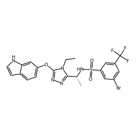 CCn1c(Oc2ccc3cc[nH]c3c2)nnc1[C@@H](C)NS(=O)(=O)c1cc(Br)cc(C(F)(F)F)c1